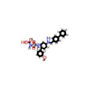 COc1cccc([C@]2(CNS(=O)(=O)N(C)C(=O)O)CC[C@@H](NCc3ccc(-c4ccccc4)cc3)CC2)c1